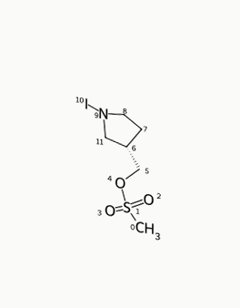 CS(=O)(=O)OC[C@H]1CCN(I)C1